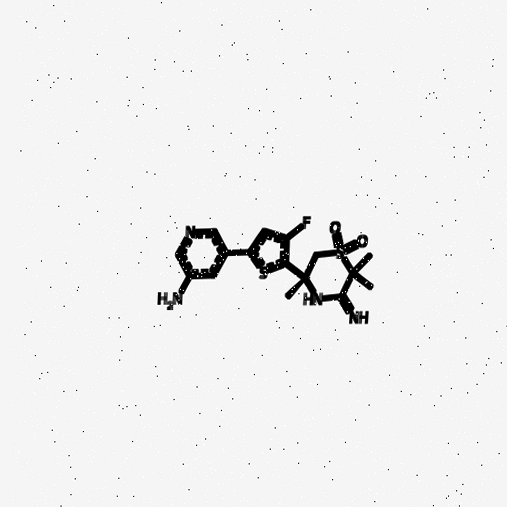 CC1(C)C(=N)N[C@](C)(c2sc(-c3cncc(N)c3)cc2F)CS1(=O)=O